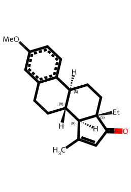 CC[C@]12CC[C@@H]3c4ccc(OC)cc4CC[C@H]3[C@@H]1C(C)=CC2=O